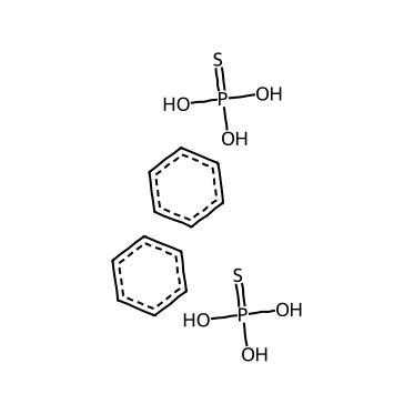 OP(O)(O)=S.OP(O)(O)=S.c1ccccc1.c1ccccc1